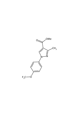 COC(=O)c1cn(-c2ccc(OC(F)(F)F)cc2)nc1C